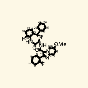 COc1ccc2nc(-c3ccccc3F)c(C(=O)N[C@H]3N=C(c4ccccc4)c4cccc(F)c4NC3=O)n2n1